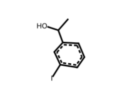 CC(O)c1cccc(I)c1